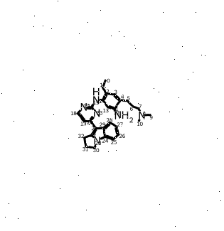 CCc1cc(CCCN(C)C)c(N)cc1Nc1nccc(-c2c3n(c4ccccc24)CCC3)n1